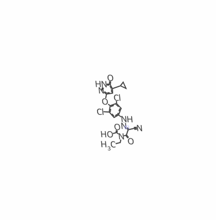 CCN(C(=O)O)C(=O)/C(C#N)=N/Nc1cc(Cl)c(Oc2cc(C3CC3)c(=O)[nH]n2)c(Cl)c1